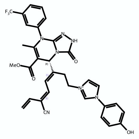 C=C/C(C#N)=C\C=C(/CC[n+]1ccn(-c2ccc(O)cc2)c1)[C@@H]1C(C(=O)OC)=C(C)N(c2cccc(C(F)(F)F)c2)c2n[nH]c(=O)n21